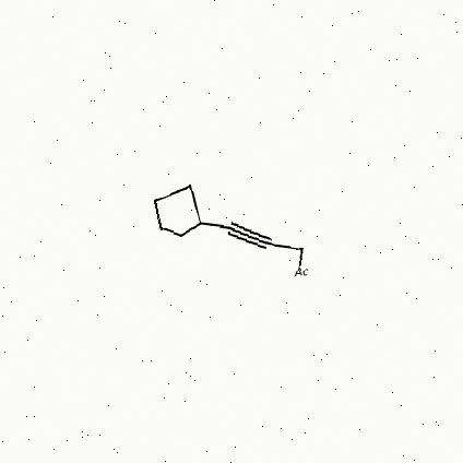 CC(=O)CC#CC1CCCC1